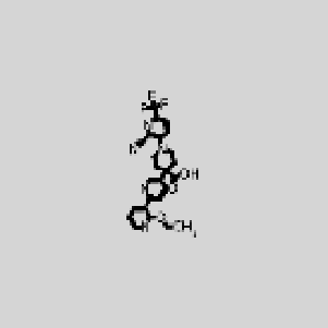 CCOc1ncccc1-c1ccc(C2(C(=O)O)CCN(c3ccc(C(F)(F)F)nc3C#N)CC2)cn1